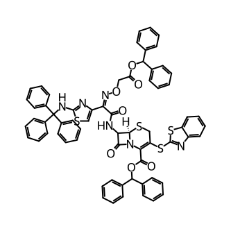 O=C(CO/N=C(\C(=O)NC1C(=O)N2C(C(=O)OC(c3ccccc3)c3ccccc3)=C(Sc3nc4ccccc4s3)CS[C@H]12)c1csc(NC(c2ccccc2)(c2ccccc2)c2ccccc2)n1)OC(c1ccccc1)c1ccccc1